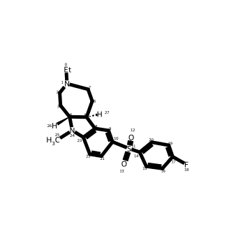 CCN1CC[C@@H]2[C@@H](CC1)c1cc(S(=O)(=O)c3ccc(F)cc3)ccc1N2C